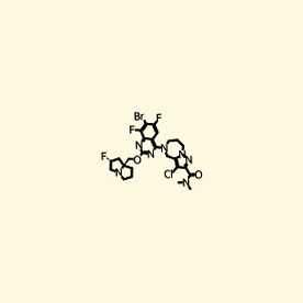 CN(C)C(=O)c1nn2c(c1Cl)CN(c1nc(OC[C@@]34CCCN3C[C@H](F)C4)nc3c(F)c(Br)c(F)cc13)CCC2